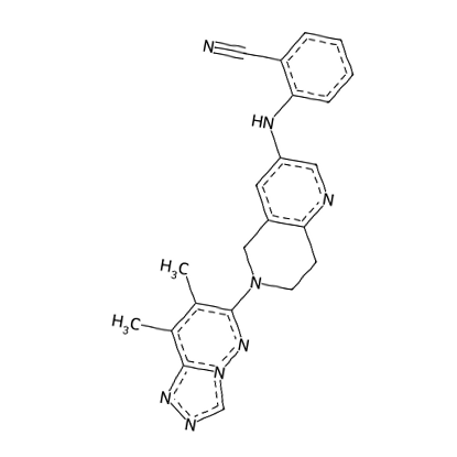 Cc1c(N2CCc3ncc(Nc4ccccc4C#N)cc3C2)nn2cnnc2c1C